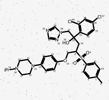 Cc1ccc(S(=O)(=O)C(COc2ccc(N3CCN(C(C)C)CC3)cc2)CC(O)(Cn2cncn2)c2ccc(Cl)cc2Cl)cc1